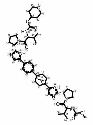 COC(=O)N[C@H](C(=O)N1CCC[C@H]1c1ncc(C23CCC(c4ccc(-c5cnc([C@@H]6CCCN6C(=O)[C@@H](NC(=O)OC6CCOCC6)C(C)C)[nH]5)cc4)(CC2)CC3)[nH]1)C(C)C